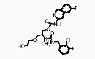 CN(C(=O)NCc1cccc(F)c1Cl)[C@@H](COCCO)COC(=O)Nc1cc2cc(F)ccc2cn1